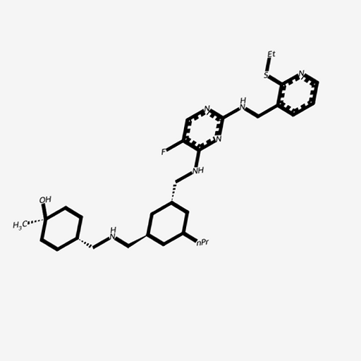 CCCC1C[C@@H](CNC[C@H]2CC[C@](C)(O)CC2)C[C@H](CNc2nc(NCc3cccnc3SCC)ncc2F)C1